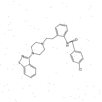 O=C(Nc1ccccc1CCN1CCN(c2nsc3ccccc23)CC1)c1ccc(Cl)cc1